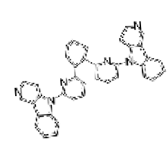 c1cc(-c2ccccc2-c2cccc(-n3c4ccccc4c4cnccc43)n2)nc(-n2c3ccccc3c3cnccc32)c1